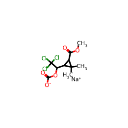 COC(=O)C1C(C(OC(=O)[O-])C(Cl)(Cl)Cl)C1(C)C.[Na+]